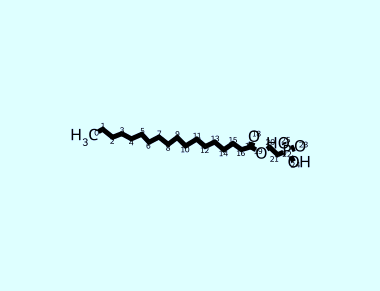 CCCCCCCCCCCCCCCCCC(=O)OCCP(=O)(O)O